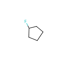 FC1CCCC1